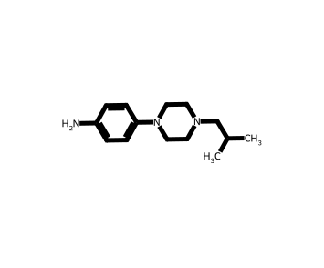 CC(C)CN1CCN(c2ccc(N)cc2)CC1